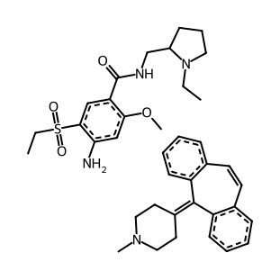 CCN1CCCC1CNC(=O)c1cc(S(=O)(=O)CC)c(N)cc1OC.CN1CCC(=C2c3ccccc3C=Cc3ccccc32)CC1